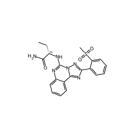 CC[C@H](Nc1nc2ccccc2c2nc(-c3ccccc3S(C)(=O)=O)nn12)C(N)=O